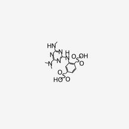 CNc1nc(Nc2cc(S(=O)(=O)O)ccc2S(=O)(=O)O)nc(N(C)C)n1